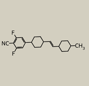 CC1CCC(C=CC2CCC(c3cc(F)c(C#N)c(F)c3)CC2)CC1